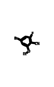 CCOc1cc(Br)cc(F)c1C#N